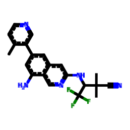 Cc1ccncc1-c1cc(N)c2cnc(NC(C(F)(F)F)C(C)(C)C#N)cc2c1